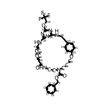 O=C1NCCN(C(=O)OCc2ccccc2)CCCOc2ccc(cc2)CNc2nc(nc(OCC(F)(F)F)n2)Nc2ccc1cc2